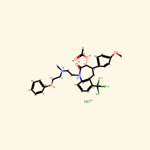 COc1ccc(C2Cc3c(cccc3C(F)(F)F)N(CCN(C)CCSc3ccccc3)C(=O)[C@@H]2OC(C)=O)cc1.Cl